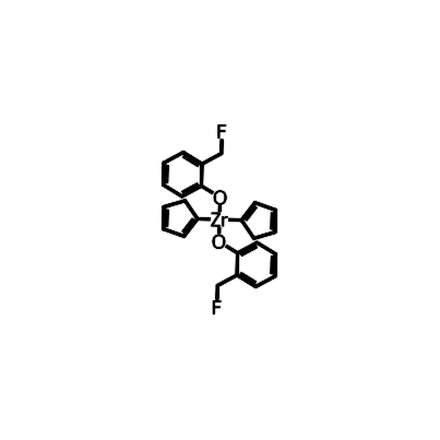 FCc1ccccc1[O][Zr]([O]c1ccccc1CF)([C]1=CC=CC1)[C]1=CC=CC1